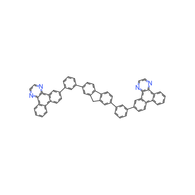 c1cc(-c2ccc3c(c2)Cc2cc(-c4cccc(-c5ccc6c7ccccc7c7nccnc7c6c5)c4)ccc2-3)cc(-c2ccc3c4ccccc4c4nccnc4c3c2)c1